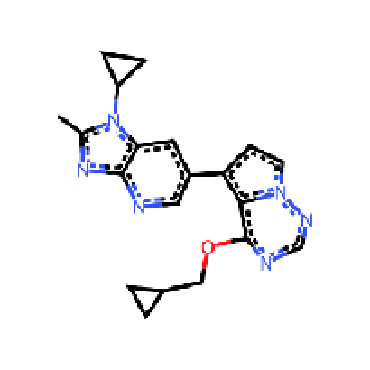 Cc1nc2ncc(-c3ccn4ncnc(OCC5CC5)c34)cc2n1C1CC1